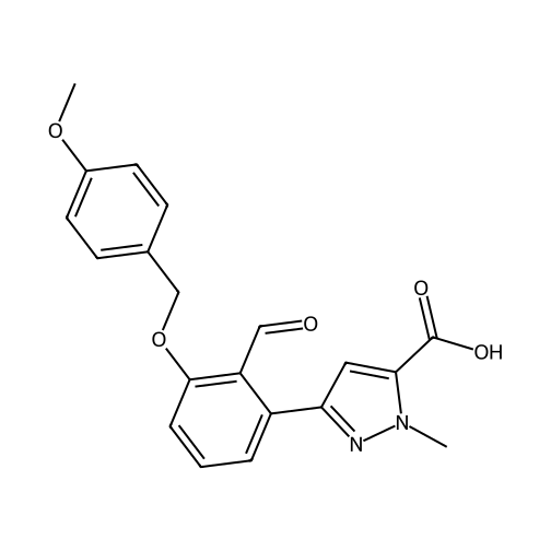 COc1ccc(COc2cccc(-c3cc(C(=O)O)n(C)n3)c2C=O)cc1